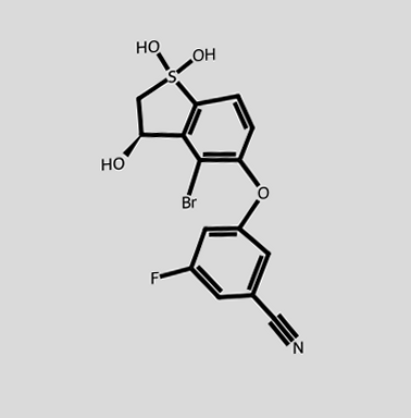 N#Cc1cc(F)cc(Oc2ccc3c(c2Br)[C@@H](O)CS3(O)O)c1